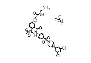 CN(c1ccc(CNC(=O)NCCN)cc1C(=O)Nc1ccc(S(=O)(=O)N2CCN(c3cc(Cl)cc(Cl)c3)CC2)cc1)S(C)(=O)=O.O=C(O)C(F)(F)F